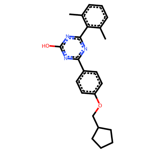 Cc1cccc(C)c1-c1nc(O)nc(-c2ccc(OCC3CCCC3)cc2)n1